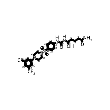 NC(=O)CCCC(O)NC(=O)Nc1ccc(S(=O)(=O)N2CCN(c3cc(Cl)cc(C(F)(F)F)c3)CC2)cc1